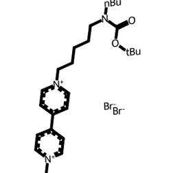 CCCCN(CCCCC[n+]1ccc(-c2cc[n+](C)cc2)cc1)C(=O)OC(C)(C)C.[Br-].[Br-]